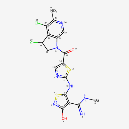 CCC(C)NC(=N)c1c(O)nsc1Nc1ncc(C(=O)N2CC(Cl)c3c2cnc([N+](=O)[O-])c3Cl)s1